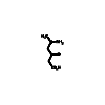 CN(N)CC(=O)CC(=O)O